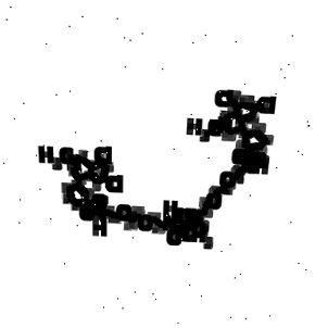 CN1Cc2c(Cl)cc(Cl)cc2C(c2cccc(S(=O)(=O)NCCOCCOCCNC(=O)C(C)(C)C(=O)NCCOCCOCCNS(=O)(=O)c3cccc(C4CN(C)Cc5c(Cl)cc(Cl)cc54)c3)c2)C1